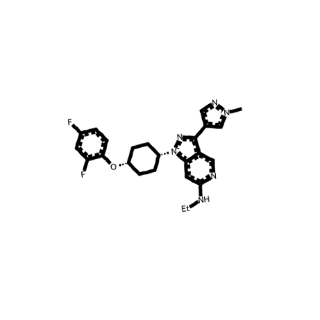 CCNc1cc2c(cn1)c(-c1cnn(C)c1)nn2[C@H]1CC[C@@H](Oc2ccc(F)cc2F)CC1